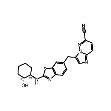 N#Cc1ccc2ncc(Cc3ccc4nc(N[C@@H]5CCCC[C@H]5O)sc4c3)n2n1